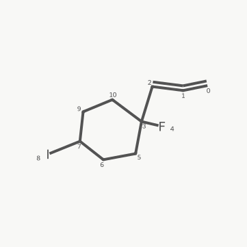 C=C=CC1(F)CCC(I)CC1